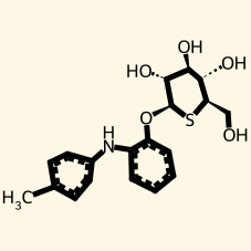 Cc1ccc(Nc2ccccc2O[C@@H]2S[C@H](CO)[C@@H](O)[C@H](O)[C@H]2O)cc1